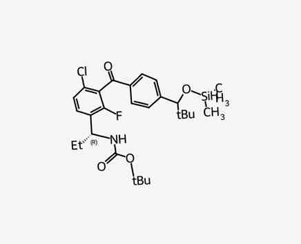 CC[C@@H](NC(=O)OC(C)(C)C)c1ccc(Cl)c(C(=O)c2ccc(C(O[SiH](C)C)C(C)(C)C)cc2)c1F